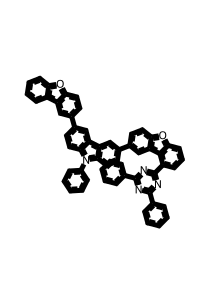 c1ccc(-c2nc(-c3ccccc3)nc(-c3cccc4oc5ccc(-c6ccc7c(c6)c6cc(-c8ccc9oc%10ccccc%10c9c8)ccc6n7-c6ccccc6)cc5c34)n2)cc1